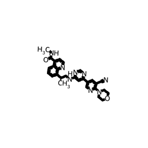 CNC(=O)c1ccnc2c([C@H](C)CNc3cc(-c4cnc(N5CCOCC5)c(C#N)c4)ncn3)cccc12